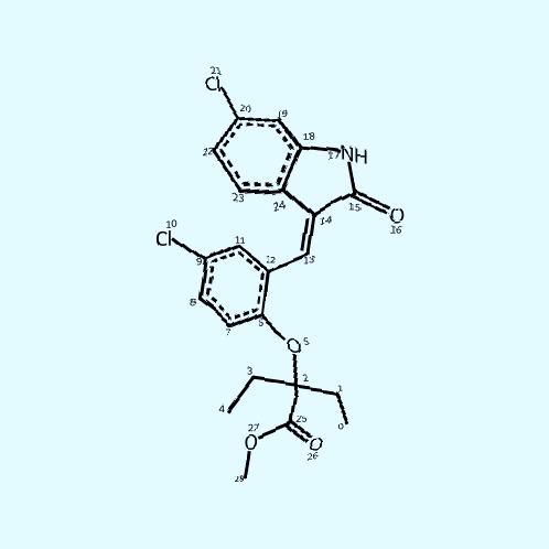 CCC(CC)(Oc1ccc(Cl)cc1/C=C1/C(=O)Nc2cc(Cl)ccc21)C(=O)OC